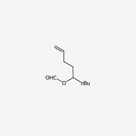 C=CCCC(CCCC)O[C]=O